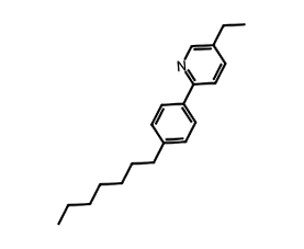 CCCCCCCc1ccc(-c2ccc(CC)cn2)cc1